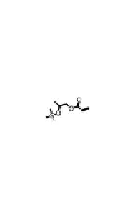 C=CC(=O)OCC(C)O[Si](C)(C)C